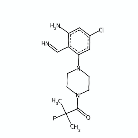 CC(C)(F)C(=O)N1CCN(c2cc(Cl)cc(N)c2C=N)CC1